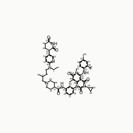 CCN(CCC(C)CN1CCC(C(=O)Nc2cccc(-n3c(=O)n(C4CC4)c(=O)c4c(Nc5ccc(I)cc5F)n(C)c(=O)c(C)c43)c2)CC1)c1ccc(C2CCC(=O)NC2=O)cn1